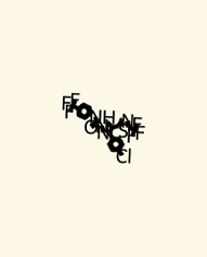 O=C(Nc1ccc(C(F)(F)F)cc1)N1CC(c2cnc(C(F)(F)F)s2)C(c2ccc(Cl)cc2)=N1